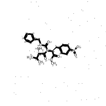 COC(=O)[C@H](Cc1ccc([N+](=O)[O-])cc1)N(C(=O)OCc1ccccc1)C(=O)[C@@H](N)C(C)C